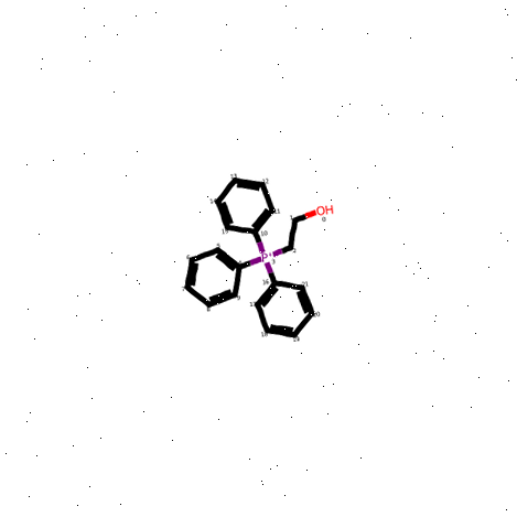 OCC[P+](c1ccccc1)(c1ccccc1)c1ccccc1